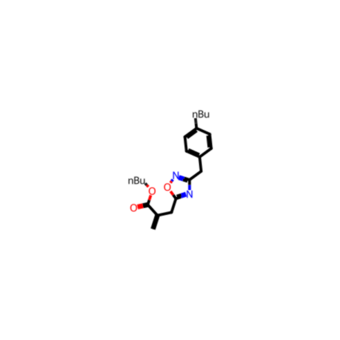 C=C(Cc1nc(Cc2ccc(CCCC)cc2)no1)C(=O)OCCCC